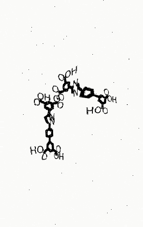 O=C(O)c1cc(C(=O)O)cc(-c2ccc(-c3cnc(-c4cc(C(=O)O)cc(C(=O)OOC(=O)c5cc(C(=O)O)cc(-c6ccc(-c7ccc(-c8cc(C(=O)O)cc(C(=O)O)c8)cc7)nn6)c5)c4)cn3)cc2)c1